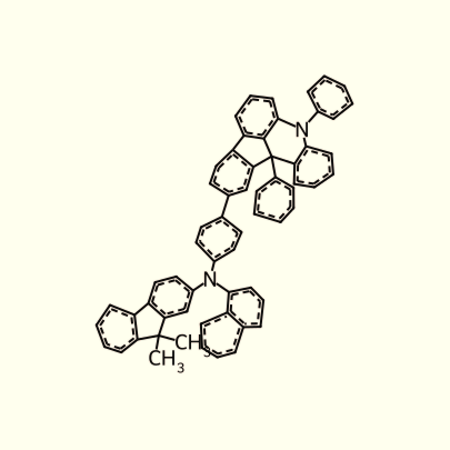 CC1(C)c2ccccc2-c2ccc(N(c3ccc(-c4ccc5c(c4)C4(c6ccccc6)c6ccccc6N(c6ccccc6)c6cccc-5c64)cc3)c3cccc4ccccc34)cc21